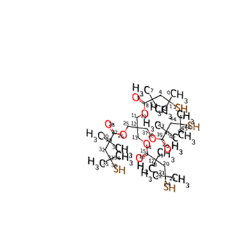 CC(C)(S)CC(C)(C)C(=O)OCC(COC(=O)C(C)(C)CC(C)(C)S)(COC(=O)C(C)(C)CC(C)(C)S)COC(=O)C(C)(C)CC(C)(C)S